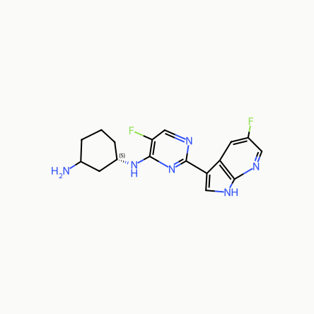 NC1CCC[C@H](Nc2nc(-c3c[nH]c4ncc(F)cc34)ncc2F)C1